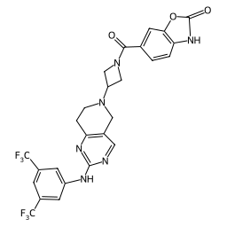 O=C(c1ccc2[nH]c(=O)oc2c1)N1CC(N2CCc3nc(Nc4cc(C(F)(F)F)cc(C(F)(F)F)c4)ncc3C2)C1